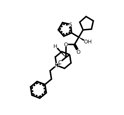 O=C(O[C@H]1C[N+]2(CCc3ccccc3)CCC1CC2)[C@](O)(c1cccs1)C1CCCC1